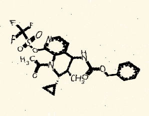 CC(=O)N1c2c(ccnc2OS(=O)(=O)C(F)(F)F)C(NC(=O)OCc2ccccc2)[C@@H](C)[C@@H]1C1CC1